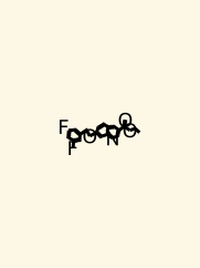 CCOC(=O)c1cnc2cc(OCc3cc(F)cc(F)c3)ccc2c1